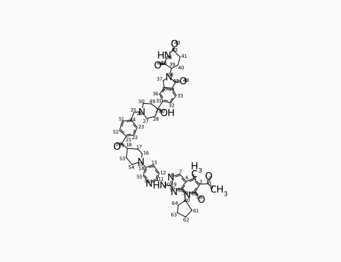 CC(=O)c1c(C)c2cnc(Nc3ccc(N4CCC(C(=O)c5ccc(CN6CCC(O)(c7ccc8c(c7)CN(C7CCC(=O)NC7=O)C8=O)CC6)cc5)CC4)cn3)nc2n(C2CCCC2)c1=O